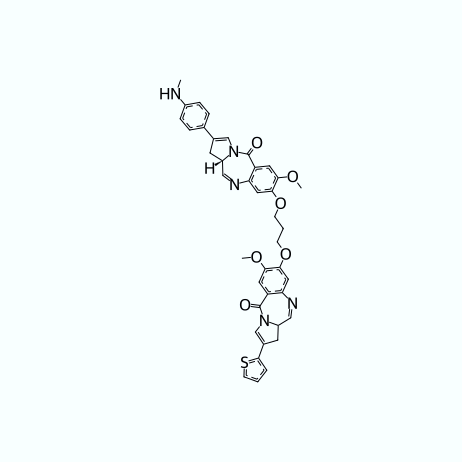 CNc1ccc(C2=CN3C(=O)c4cc(OC)c(OCCCOc5cc6c(cc5OC)C(=O)N5C=C(c7cccs7)CC5C=N6)cc4N=C[C@@H]3C2)cc1